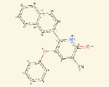 N#Cc1cc(Oc2ccccc2)c(-c2ccc3ccccc3c2)[nH]c1=O